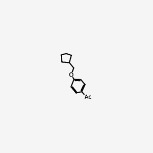 CC(=O)c1ccc(OCC2CCCC2)cc1